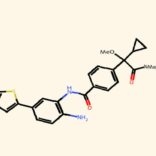 CNC(=O)C(OC)(c1ccc(C(=O)Nc2cc(-c3cccs3)ccc2N)cc1)C1CC1